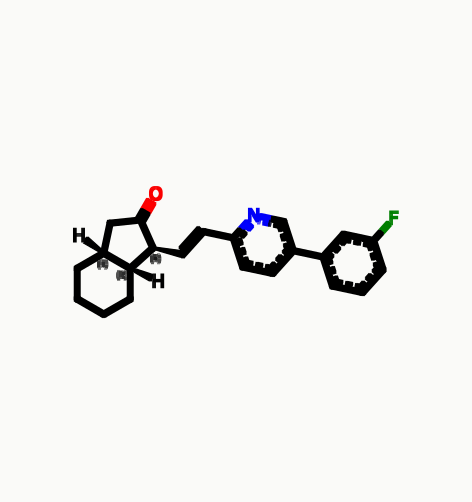 O=C1C[C@H]2CCCC[C@H]2[C@@H]1C=Cc1ccc(-c2cccc(F)c2)cn1